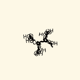 CCC(O)COc1cc(/C=C/c2cc(OCC(O)CS(=O)(=O)O)cc(OCC(O)CS(=O)(=O)O)c2)cc(OCC(O)CS(=O)(=O)O)c1